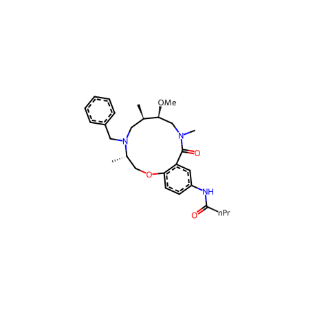 CCCC(=O)Nc1ccc2c(c1)C(=O)N(C)C[C@H](OC)[C@H](C)CN(Cc1ccccc1)[C@@H](C)CO2